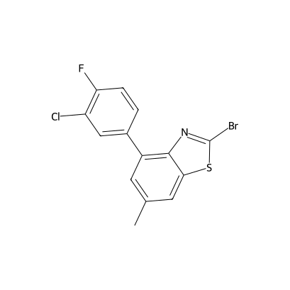 Cc1cc(-c2ccc(F)c(Cl)c2)c2nc(Br)sc2c1